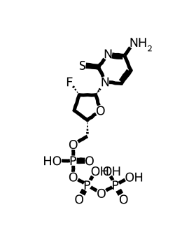 Nc1ccn([C@@H]2O[C@H](COP(=O)(O)OP(=O)(O)OP(=O)(O)O)C[C@@H]2F)c(=S)n1